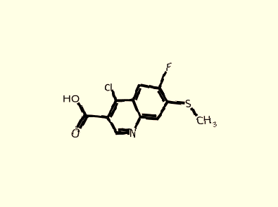 CSc1cc2ncc(C(=O)O)c(Cl)c2cc1F